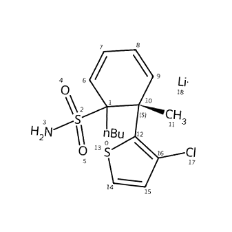 CCCCC1(S(N)(=O)=O)C=CC=C[C@]1(C)c1sccc1Cl.[Li]